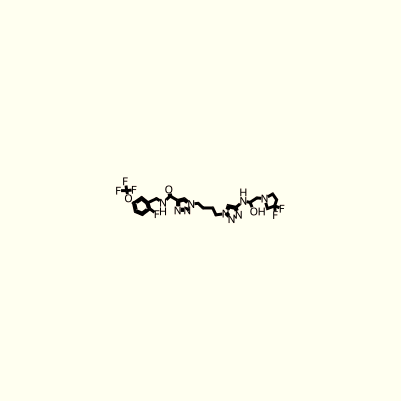 O=C(NCc1cc(OC(F)(F)F)ccc1F)c1cn(CCCCn2cc(NC(O)CN3CCC(F)(F)C3)nn2)nn1